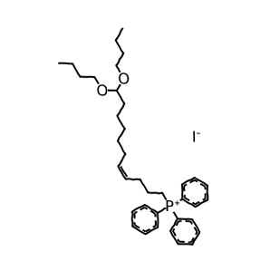 CCCCOC(CCCCC/C=C\CCC[P+](c1ccccc1)(c1ccccc1)c1ccccc1)OCCCC.[I-]